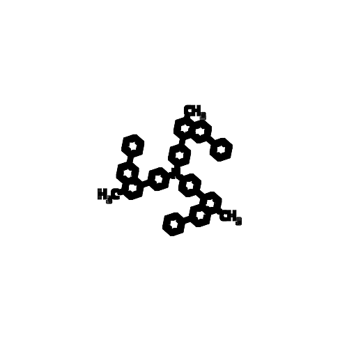 Cc1ccc(-c2ccc(N(c3ccc(-c4ccc(C)c5ccc(-c6ccccc6)cc45)cc3)c3ccc(-c4ccc(C)c5ccc(-c6ccccc6)cc45)cc3)cc2)c2cc(-c3ccccc3)ccc12